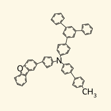 Cc1ccc(-c2ccc(N(c3ccc(-c4cc(-c5ccccc5)cc(-c5ccccc5)c4)cc3)c3ccc(-c4ccc5oc6ccccc6c5c4)cc3)cc2)cc1